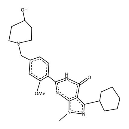 COc1cc(CN2CCC(O)CC2)ccc1-c1nc2c(c(C3CCCCC3)nn2C)c(=O)[nH]1